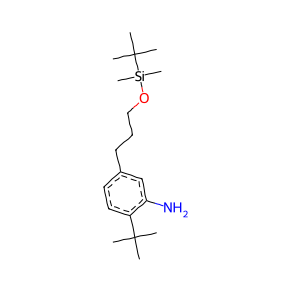 CC(C)(C)c1ccc(CCCO[Si](C)(C)C(C)(C)C)cc1N